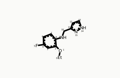 CCOc1cc(F)ccc1NCc1cc[nH]n1